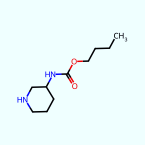 CCCCOC(=O)NC1CCCNC1